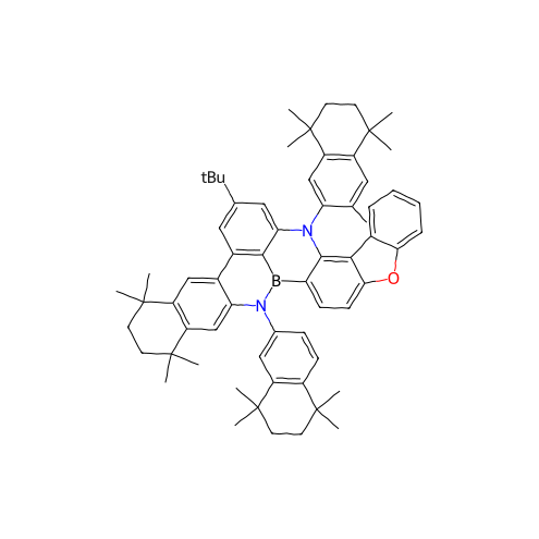 Cc1cc2c(cc1N1c3cc(C(C)(C)C)cc4c3B(c3ccc5oc6ccccc6c5c31)N(c1ccc3c(c1)C(C)(C)CCC3(C)C)c1cc3c(cc1-4)C(C)(C)CCC3(C)C)C(C)(C)CCC2(C)C